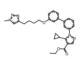 CCOC(=O)c1cnn(-c2cccc(-c3cccc(OCCCCc4cn(C)nn4)c3)c2)c1C1CC1